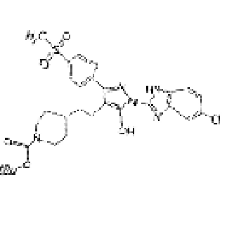 CC(C)(C)OC(=O)N1CCC(CCc2c(-c3ccc(S(C)(=O)=O)cc3)nn(-c3nc4cc(Cl)ccc4[nH]3)c2O)CC1